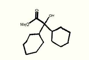 COC(=O)C(O)(C1CCCCC1)C1CCCCC1